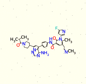 C/N=C\Cc1cc(C(=O)Nc2ccc(-c3cc(C4CCN(C(=O)C(C)C)CC4)n4ncnc(N)c34)cc2)c(=O)n(-c2cncc(F)c2)c1C